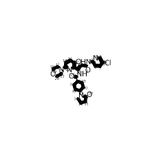 O=C(Nc1ccc(Cl)cn1)c1oc2ccc(N3CCOCC3)nc2c1NC(=O)[C@H]1CC[C@H](N2CCCC2=O)CC1